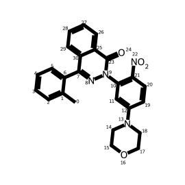 Cc1ccccc1-c1nn(-c2cc(N3CCOCC3)ccc2[N+](=O)[O-])c(=O)c2ccccc12